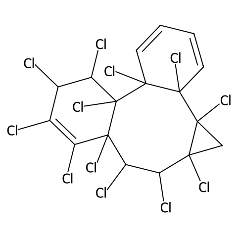 ClC1=C(Cl)C2(Cl)C(Cl)C(Cl)C3(Cl)CC3(Cl)C3(Cl)C=CC=CC3(Cl)C2(Cl)C(Cl)C1Cl